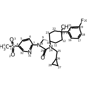 CS(=O)(=O)c1ccc(N2C[C@]3(CC[C@@](C)(c4cccc(F)c4)CC3)N(CC3CC3)C2=O)nc1